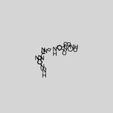 O=C1CCC(N2C(=O)c3ccc(NC[C@H]4C[C@@H](n5cc(-c6cnc7ccc(N8CCNCC8)cc7n6)cn5)C4)cc3C2=O)C(=O)N1